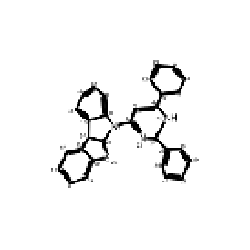 C1=CCC(C2=CC(N3c4ccccc4C4c5ccccc5SC43)=NC(c3ccccc3)N2)C=C1